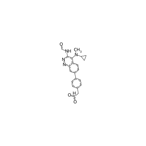 CN(c1c(NC=O)nnc2cc(-c3ccc(C[SH](=O)=O)cc3)ccc12)C1CC1